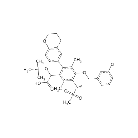 Cc1c(OCc2cccc(Cl)c2)c(NS(C)(=O)=O)c(C)c(C(OC(C)(C)C)C(=O)O)c1-c1ccc2c(c1)CCCO2